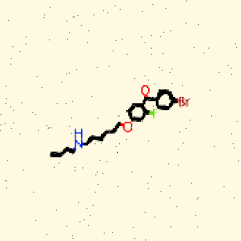 C=CCCNCCCCCCOc1ccc(C(=O)c2ccc(Br)cc2)c(F)c1